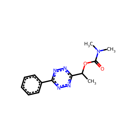 CC(OC(=O)N(C)C)c1nnc(-c2ccccc2)nn1